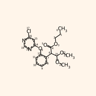 CCCOC(=O)C(c1ccccc1Oc1cc(Cl)ncn1)C(OC)OC